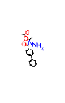 CC(=O)OC(C)N(N)C(=O)c1ccc(-c2ccccc2)cc1